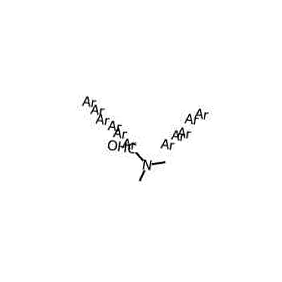 CN(C)C=O.[Ar].[Ar].[Ar].[Ar].[Ar].[Ar].[Ar].[Ar].[Ar].[Ar].[Ar]